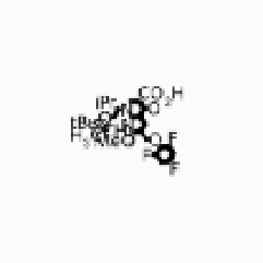 COc1nc2c(cc1COc1c(F)cc(F)cc1F)c(=O)c(C(=O)O)cn2C(CO[Si](C)(C)C(C)(C)C)C(C)C